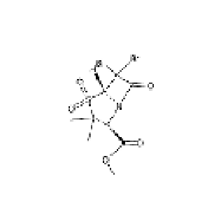 COC(=O)[C@@H]1N2C(=O)C(Br)(Br)[C@H]2S(=O)(=O)C1(C)C